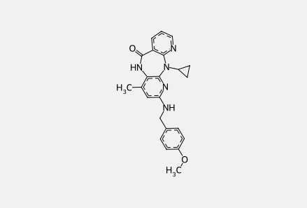 COc1ccc(CNc2cc(C)c3c(n2)N(C2CC2)c2ncccc2C(=O)N3)cc1